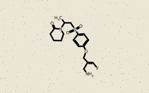 CC(CS(=O)(=O)c1ccc(OCC(=CF)CN)cc1)N1CCCCC1=O